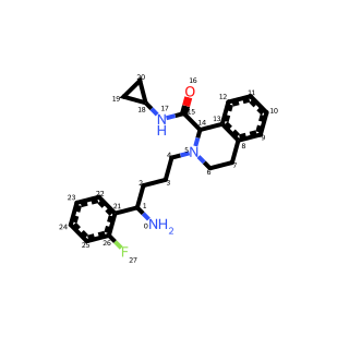 NC(CCCN1CCc2ccccc2C1C(=O)NC1CC1)c1ccccc1F